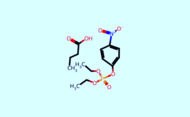 CCCC(=O)O.CCOP(=O)(OCC)Oc1ccc([N+](=O)[O-])cc1